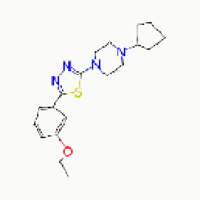 CCOc1cccc(-c2nnc(N3CCN(C4CCCC4)CC3)s2)c1